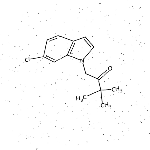 CC(C)(C)C(=O)Cn1ccc2ccc(Cl)cc21